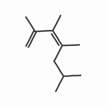 C=C(C)/C(C)=C(/C)CC(C)C